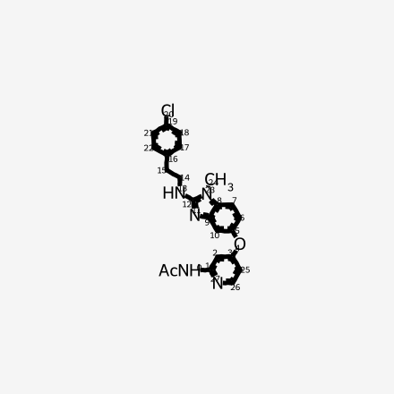 CC(=O)Nc1cc(Oc2ccc3c(c2)nc(NCCc2ccc(Cl)cc2)n3C)ccn1